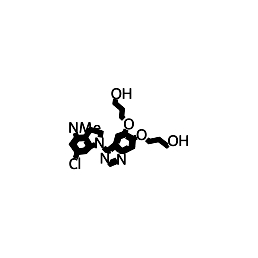 CNc1cc(Cl)cc2c1CCN2c1ncnc2cc(OCCCO)c(OCCCO)cc12